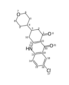 O=C1CC(C2CCOCC2)Cc2[nH]c3ccc(Cl)cc3c(=O)c21